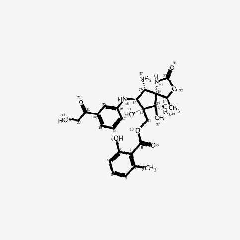 Cc1cccc(O)c1C(=O)OC[C@@]1(O)[C@@H](Nc2cccc(C(=O)CO)c2)[C@H](N)[C@]2(NC(=O)O[C@H]2C)[C@@]1(C)O